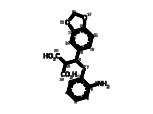 Nc1ccccc1SC(c1ccc2c(c1)OCO2)C(C(=O)O)C(=O)O